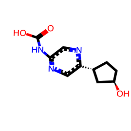 O=C(O)Nc1cnc([C@@H]2CC[C@@H](O)C2)cn1